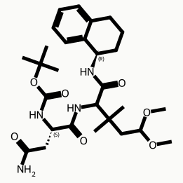 COC(CC(C)(C)C(NC(=O)[C@H](CC(N)=O)NC(=O)OC(C)(C)C)C(=O)N[C@@H]1CCCc2ccccc21)OC